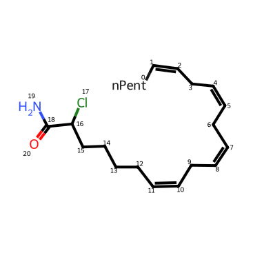 CCCCC/C=C\C/C=C\C/C=C\C/C=C\CCCCC(Cl)C(N)=O